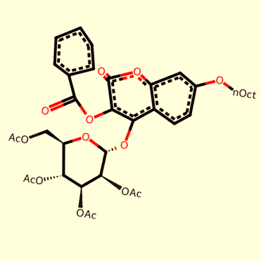 CCCCCCCCOc1ccc2c(O[C@H]3O[C@H](COC(C)=O)[C@@H](OC(C)=O)[C@H](OC(C)=O)[C@@H]3OC(C)=O)c(OC(=O)c3ccccc3)c(=O)oc2c1